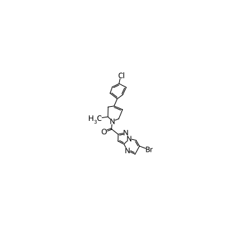 CC1CC(c2ccc(Cl)cc2)=CCN1C(=O)c1cc2ncc(Br)cn2n1